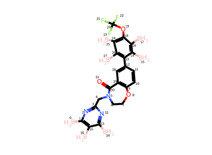 Bc1nc(CN2CCOc3ccc(-c4c(B)c(B)c(OC(F)(F)F)c(B)c4B)cc3C2=O)nc(B)c1B